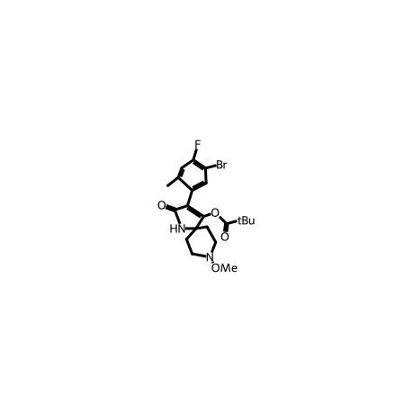 CON1CCC2(CC1)NC(=O)C(c1cc(Br)c(F)cc1C)=C2OC(=O)C(C)(C)C